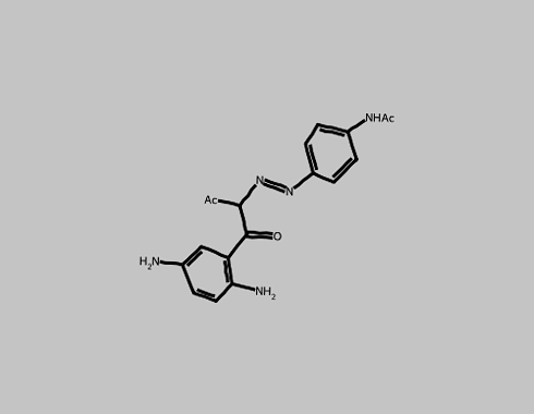 CC(=O)Nc1ccc(/N=N/C(C(C)=O)C(=O)c2cc(N)ccc2N)cc1